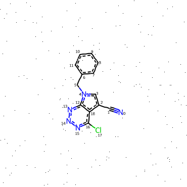 N#Cc1cn(Cc2ccccc2)c2nnnc(Cl)c12